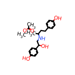 CC(CCc1ccc(O)cc1)NCC(O)c1ccc(O)cc1.COC(C)=O